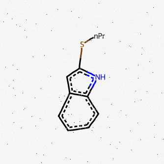 CCCSc1cc2ccccc2[nH]1